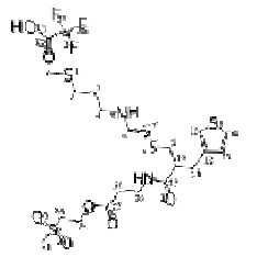 CSCCCNCSSCC(Cc1ccsc1)C(=O)NCCC(=O)OCCS(C)(=O)=O.O=C(O)C(F)(F)F